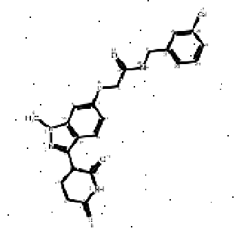 Cn1nc(C2CCC(=O)NC2=O)c2ccc(OCC(=O)NCc3cccc(C#N)c3)cc21